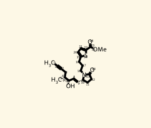 CC#CC[C@@H](C)[C@@H](O)C=C[C@H]1CCC(=O)N1CCCc1ccc(C(=O)OC)s1